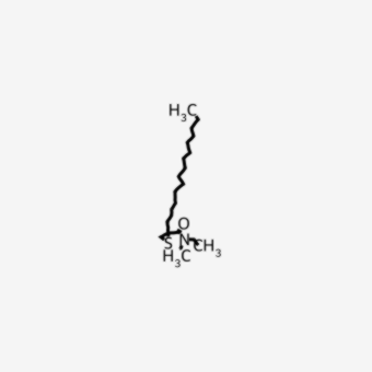 CCCCCCCCCCCCCCCC1(C(=O)N(CC)CC)CS1